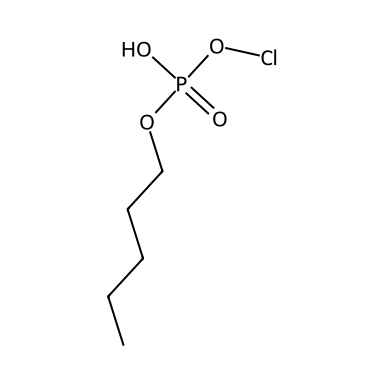 CCCCCOP(=O)(O)OCl